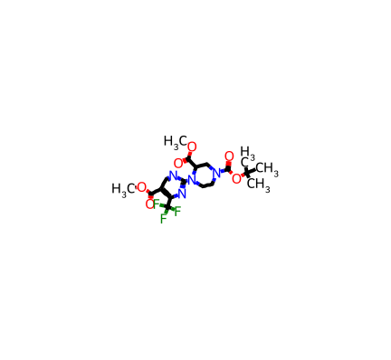 COC(=O)c1cnc(N2CCN(C(=O)OC(C)(C)C)CC2C(=O)OC)nc1C(F)(F)F